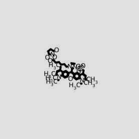 CCC1=CC(C)(C)N(CC)c2cc3c(cc21)C(c1nccn1CCCCCC(=O)ON1C(=O)CCC1=O)=c1cc2c(cc1O3)=[N+](CC)C(C)(C)C=C2CS(=O)(=O)[O-]